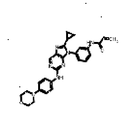 C=CC(=O)Nc1cccc(-n2c(C3CC3)nc3cnc(Nc4ccc(N5CCOCC5)cc4)nc32)c1